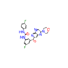 O=C(Nc1ccc(F)cc1)Nc1cc(F)cc(C(=O)c2cc3nc(N4CCOCC4)cnc3cn2)c1